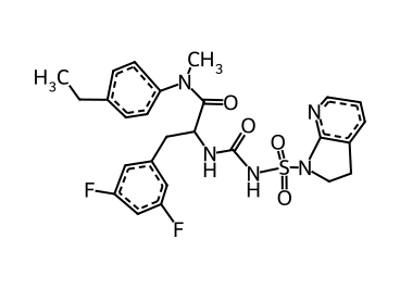 CCc1ccc(N(C)C(=O)C(Cc2cc(F)cc(F)c2)NC(=O)NS(=O)(=O)N2CCc3cccnc32)cc1